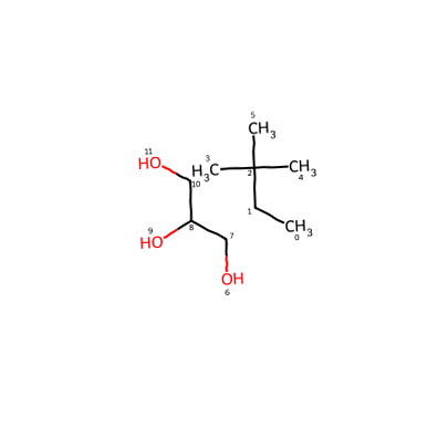 CCC(C)(C)C.OCC(O)CO